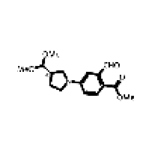 COC(=O)c1ccc(N2CC[C@@H](C(OC)OC)C2)cc1C=O